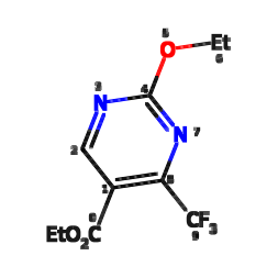 CCOC(=O)c1cnc(OCC)nc1C(F)(F)F